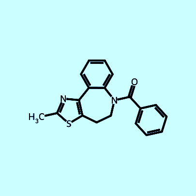 Cc1nc2c(s1)CCN(C(=O)c1ccccc1)c1ccccc1-2